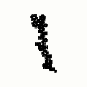 Nc1nc2ncc(CNc3ccc(C(=O)NC(CCC(=O)NCCNC(=O)CCC(=O)OC[N+]4(c5cc(=O)c6cccc(-c7ccccc7)c6o5)CCOCC4)C(=O)O)cc3)nc2c(=O)[nH]1